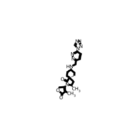 CC1=C(N2C(=O)[C@]3(CC[C@H](NCc4ccc(-n5cnnn5)nn4)CC3)C[C@H]2C)COC1=O